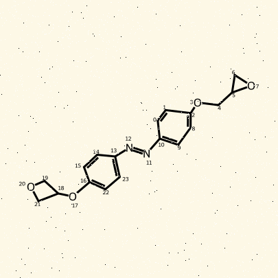 c1cc(OCC2CO2)ccc1/N=N/c1ccc(OC2COC2)cc1